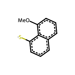 COc1cccc2cccc([S])c12